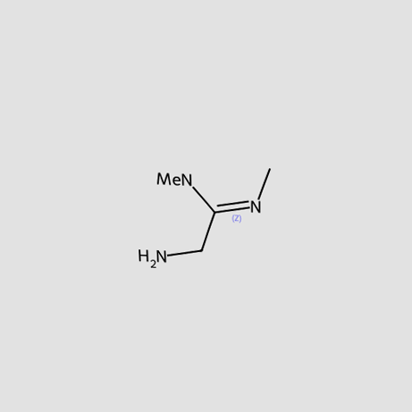 C/N=C(/CN)NC